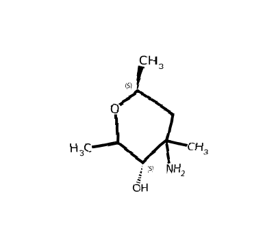 CC1O[C@@H](C)CC(C)(N)[C@@H]1O